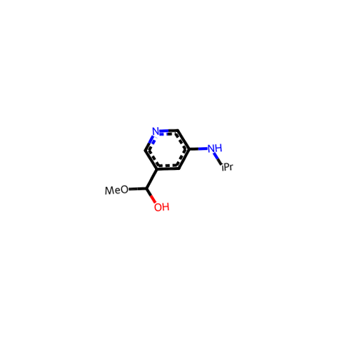 COC(O)c1cncc(NC(C)C)c1